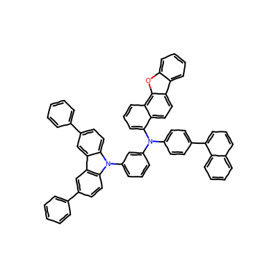 c1ccc(-c2ccc3c(c2)c2cc(-c4ccccc4)ccc2n3-c2cccc(N(c3ccc(-c4cccc5ccccc45)cc3)c3cccc4c3ccc3c5ccccc5oc43)c2)cc1